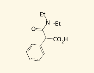 CCN(CC)C(=O)C(C(=O)O)c1ccccc1